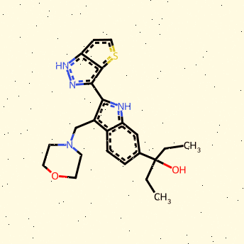 CCC(O)(CC)c1ccc2c(CN3CCOCC3)c(-c3n[nH]c4ccsc34)[nH]c2c1